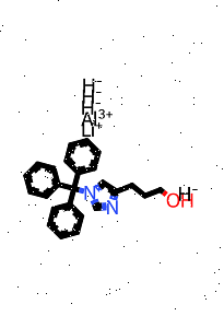 OCCCc1cn(C(c2ccccc2)(c2ccccc2)c2ccccc2)cn1.[Al+3].[H-].[H-].[H-].[H-].[Li+]